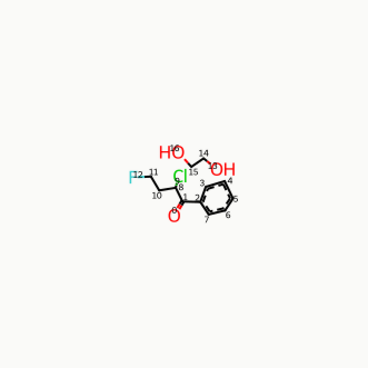 O=C(c1ccccc1)C(Cl)CCF.OCCO